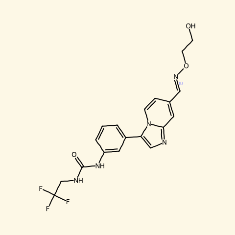 O=C(NCC(F)(F)F)Nc1cccc(-c2cnc3cc(/C=N/OCCO)ccn23)c1